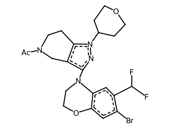 CC(=O)N1CCc2c(c(N3CCOc4cc(Br)c(C(F)F)cc43)nn2C2CCOCC2)C1